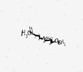 CNCCCNCCCOC